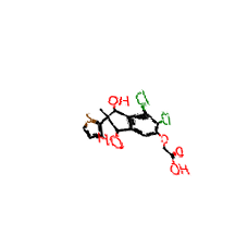 CC1(c2cccs2)C(O)c2cc(OCC(=O)O)c(Cl)c(Cl)c2C1O